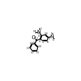 CN(C)c1ccc(C(=O)c2ccccc2)c(N(C)C)c1